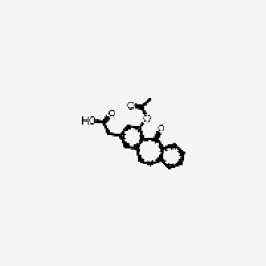 CC(=O)Oc1cc(CC(=O)O)cc2ccc3ccccc3c(=O)c12